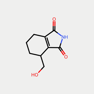 O=C1NC(=O)C2=C1CCCC2CO